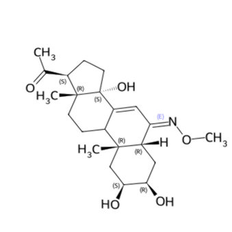 CO/N=C1/C=C2C(CC[C@]3(C)[C@@H](C(C)=O)CC[C@@]23O)[C@@]2(C)C[C@H](O)[C@H](O)C[C@@H]12